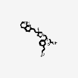 COCCc1cccc([C@H](CC(=O)O)CN2CC[C@@](F)(CCc3ccc4c(n3)NCCC4)C2)c1